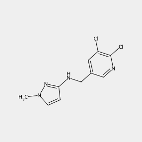 Cn1ccc(NCc2cnc(Cl)c(Cl)c2)n1